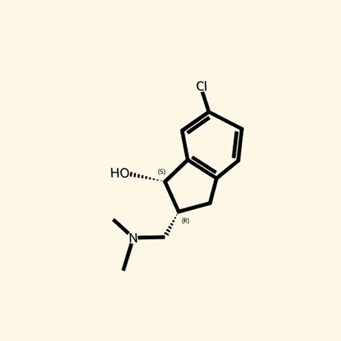 CN(C)C[C@H]1Cc2ccc(Cl)cc2[C@H]1O